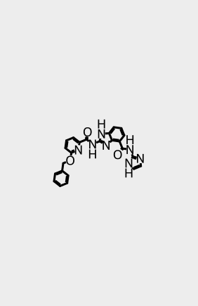 O=C(Nc1nc2c(C(=O)Nc3ncc[nH]3)cccc2[nH]1)c1cccc(OCc2ccccc2)n1